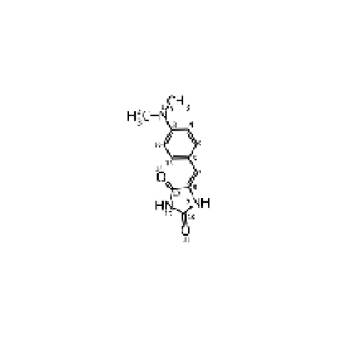 CN(C)c1ccc(C=C2NC(=O)NC2=O)cc1